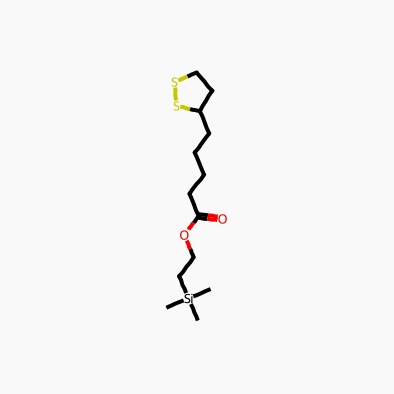 C[Si](C)(C)CCOC(=O)CCCCC1CCSS1